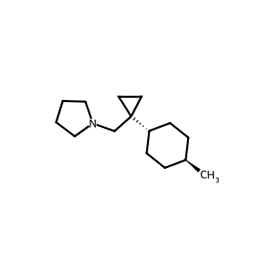 C[C@H]1CC[C@H](C2(CN3CCCC3)CC2)CC1